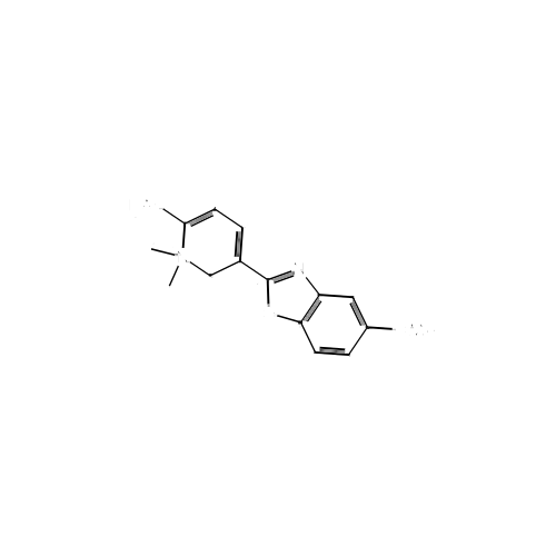 COc1ccc2oc(C3=CC=C([AsH2])[N+](C)(C)C3)nc2c1